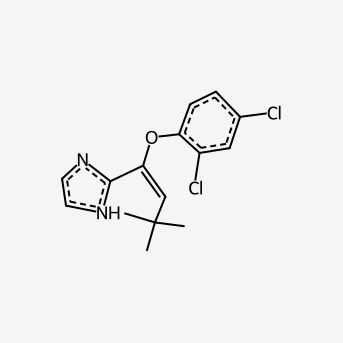 CC(C)(C)C=C(Oc1ccc(Cl)cc1Cl)c1ncc[nH]1